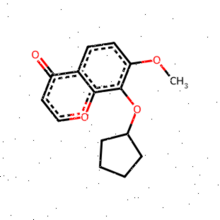 COc1ccc2c(=O)ccoc2c1OC1CCCC1